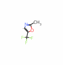 Cc1n[c]c(C(F)(F)F)o1